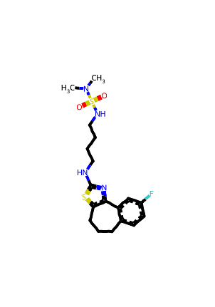 CN(C)S(=O)(=O)NCCCCNc1nc2c(s1)CCCc1ccc(F)cc1-2